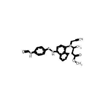 C#CCN(c1ccc(NSc2ccc(NC=O)cc2)c2ccccc12)C(C)CC(=O)OC